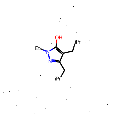 CCn1nc(CC(C)C)c(CC(C)C)c1O